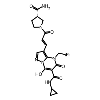 CC(C)Cn1c(=O)c(C(=O)NC2CC2)c(O)n2ncc(/C=C/C(=O)N3CC[C@H](C(N)=O)C3)c12